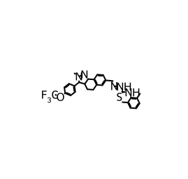 Cc1cccc(C)c1NC(=S)NN=Cc1ccc2c(c1)CCC1C2=NN(C)C1c1ccc(OC(F)(F)F)cc1